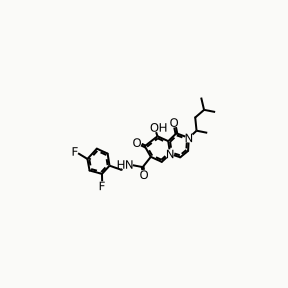 CC(C)CC(C)n1ccn2cc(C(=O)NCc3ccc(F)cc3F)c(=O)c(O)c2c1=O